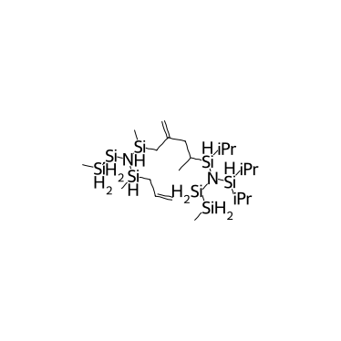 C=CC[SiH](C)N([SiH2][SiH2]C)[SiH](C)CC(=C)CC(C)[SiH](C(C)C)N([SiH2][SiH2]C)[SiH](C(C)C)C(C)C